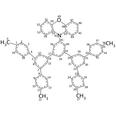 Cc1ccc(-c2cc(-c3ccc(C)cc3)cc(-c3cc(-c4cc(-c5ccc(C)cc5)cc(-c5ccc(C)cc5)c4)cc(N4c5ccccc5Oc5ccccc54)c3)c2)cc1